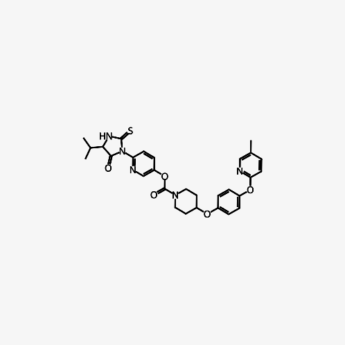 Cc1ccc(Oc2ccc(OC3CCN(C(=O)Oc4ccc(N5C(=O)C(C(C)C)NC5=S)nc4)CC3)cc2)nc1